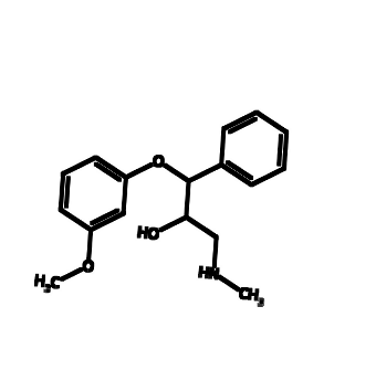 CNCC(O)C(Oc1cccc(OC)c1)c1ccccc1